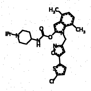 Cc1ccc(C)c2c1cc(OC(=O)NC1CCN(C(C)C)CC1)n2Cc1cc(-c2ccc(Cl)s2)on1